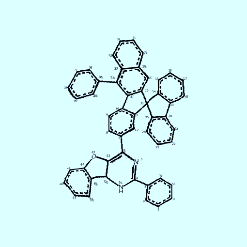 c1ccc(C2=NC(c3ccc4c(c3)C3(c5ccccc5-c5ccccc53)c3cc5ccccc5c(-c5ccccc5)c3-4)=C3Oc4ccccc4C3N2)cc1